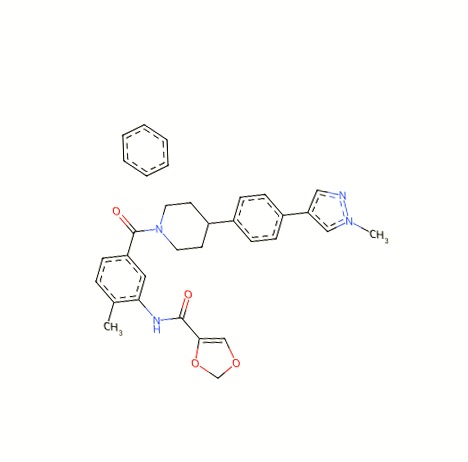 Cc1ccc(C(=O)N2CCC(c3ccc(-c4cnn(C)c4)cc3)CC2)cc1NC(=O)C1=COCO1.c1ccccc1